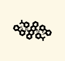 CC(C)c1cccc(N(c2c3ccccc3cc3c(N(c4cccc(C(C)C)c4)c4cccc5c4sc4ccccc45)c4ccccc4cc23)c2cccc3c2sc2ccccc23)c1